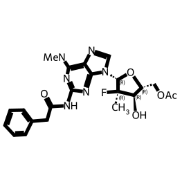 CNc1nc(NC(=O)Cc2ccccc2)nc2c1ncn2[C@@H]1O[C@H](COC(C)=O)[C@@H](O)[C@@]1(C)F